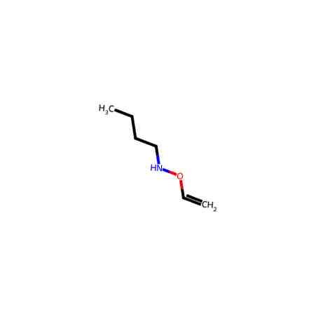 C=CONCCCC